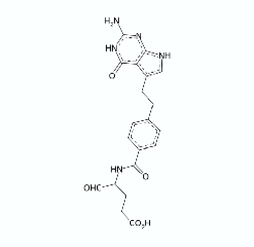 Nc1nc2[nH]cc(CCc3ccc(C(=O)NC(C=O)CCC(=O)O)cc3)c2c(=O)[nH]1